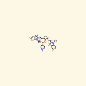 CCN1/C(=C/CC2(C)CCC(/C=C/C3=[N+](CC)C4=C(C=C(C)CC4)C3(C)C)=C2OC(c2cc[n+](C)cc2)C(C)C)C(C)(C)c2cc(C)ccc21